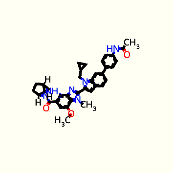 COc1cc(C(=O)N2C[C@H]3CC[C@@H]2[C@@H]3N)cc2nc(-c3cc4ccc(-c5ccc(NC(C)=O)cc5)cc4n3CC3CC3)n(C)c12